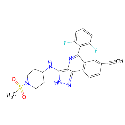 C#Cc1ccc2c(c1)c(-c1c(F)cccc1F)nc1c(NC3CCN(S(C)(=O)=O)CC3)[nH]nc12